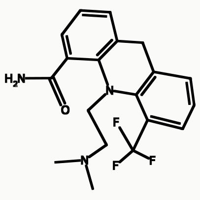 CN(C)CCN1c2c(cccc2C(N)=O)Cc2cccc(C(F)(F)F)c21